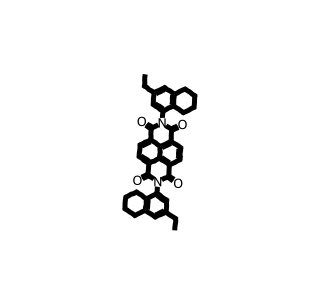 CCc1cc2c(c(N3C(=O)c4ccc5c6c(ccc(c46)C3=O)C(=O)N(c3cc(CC)cc4c3CCCC4)C5=O)c1)CCCC2